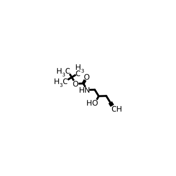 C#CCC(O)CNC(=O)OC(C)(C)C